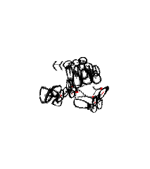 O=P(O)(OP(=O)(O)OP(=O)(OCC12COP(=O)(OC1)OC2)OCC12COP(=O)(OC1)OC2)OP(=O)(OCC12COP(=O)(OC1)OC2)OCC12COP(=O)(OC1)OC2